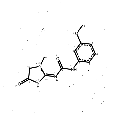 COc1cccc(NC(=O)N=C2NC(=O)CN2C)c1